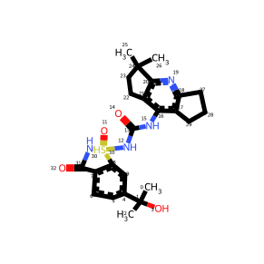 CC(C)(O)c1ccc2c(c1)[SH](=O)(NC(=O)Nc1c3c(nc4c1CCC4(C)C)CCC3)NC2=O